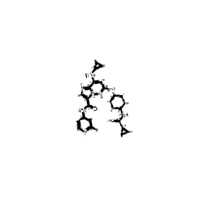 O=C(Nc1ccnc(F)c1)c1cnc2c(NC3CC3)cc(N[C@H]3CC[C@H](NC(=O)C4CC4)CC3)nn12